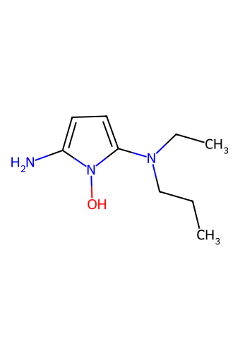 CCCN(CC)c1ccc(N)n1O